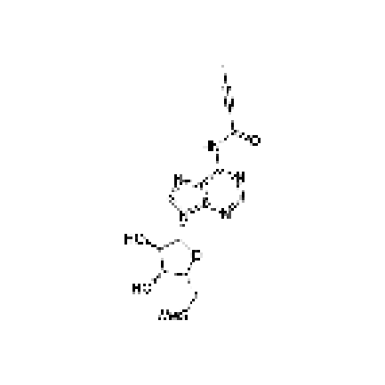 CC#CC(=O)Nc1ncnc2c1ncn2[C@@H]1O[C@H](CSC)[C@@H](O)[C@H]1O